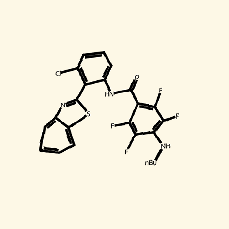 CCCCNc1c(F)c(F)c(C(=O)Nc2cccc(Cl)c2-c2nc3ccccc3s2)c(F)c1F